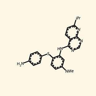 CNc1ccc(Sc2ccc(N)cc2)c(Nc2ncnc3nc(C(C)C)ccc23)c1